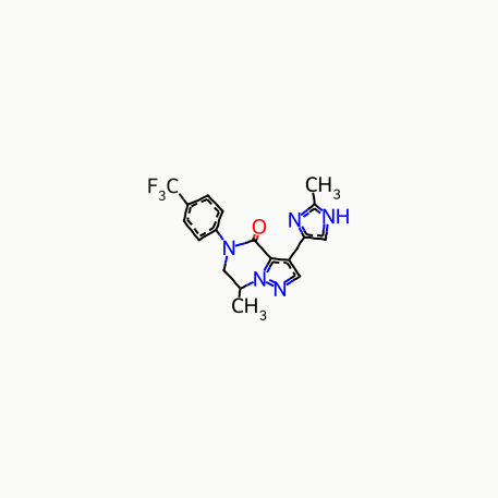 Cc1nc(-c2cnn3c2C(=O)N(c2ccc(C(F)(F)F)cc2)CC3C)c[nH]1